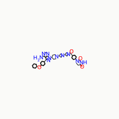 Nc1ncnc2c1c(-c1ccc(Oc3ccccc3)cc1)nn2C1CCN(C2CN(C3CN(C(=O)c4ccc(N5CCC(=O)NC5=O)cc4)C3)C2)CC1